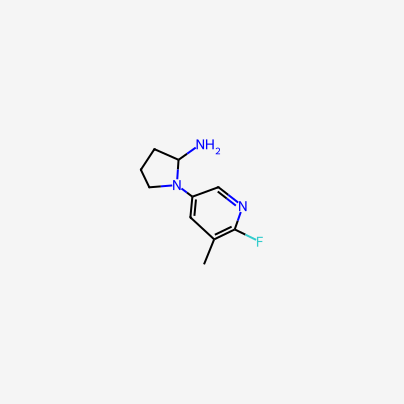 Cc1cc(N2CCCC2N)cnc1F